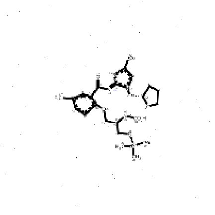 CC(C)(C)c1cn(C[C@@H]2CCCO2)/c(=N/C(=O)c2cc(C(F)(F)F)ccc2OC[C@H](CO[Si](C)(C)C(C)(C)C)NC(=O)O)s1